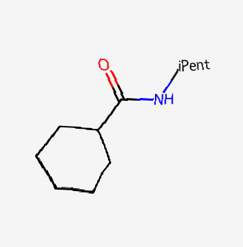 CCCC(C)NC(=O)C1CCCCC1